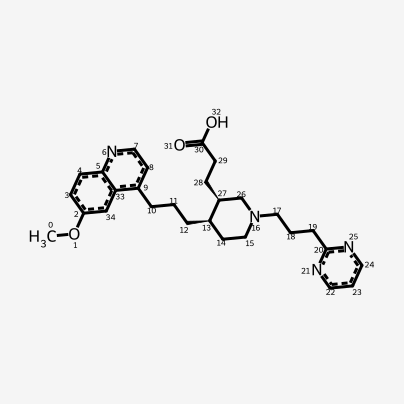 COc1ccc2nccc(CCC[C@@H]3CCN(CCCc4ncccn4)C[C@@H]3CCC(=O)O)c2c1